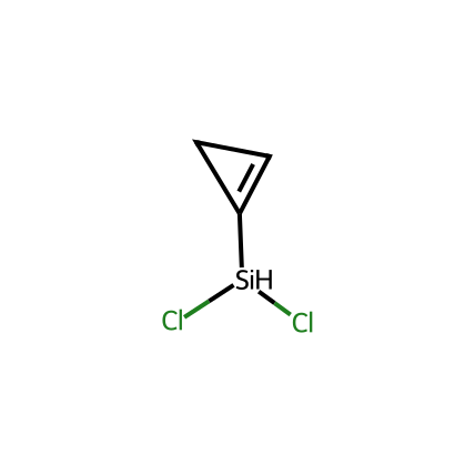 Cl[SiH](Cl)C1=CC1